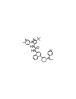 CCN(c1ccncc1)C1C=C(c2ccc(NC(=O)Nc3cc(C(C)(C)C)nn3-c3ccc(C)nc3)c3ccccc23)CCC1